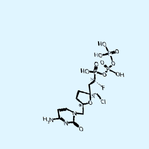 Nc1ccn(C[C@H]2CC[C@@](CCl)(C[C@@H](F)P(=O)(O)OP(=O)(O)OP(=O)(O)O)O2)c(=O)n1